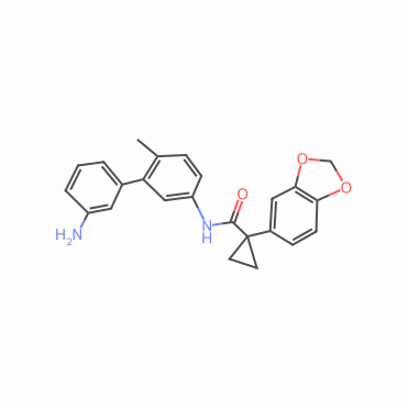 Cc1ccc(NC(=O)C2(c3ccc4c(c3)OCO4)CC2)cc1-c1cccc(N)c1